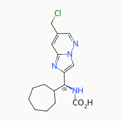 O=C(O)N[C@H](c1cn2ncc(CCl)cc2n1)C1CCCCCC1